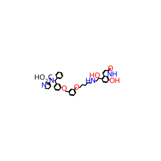 O=C(O)N(C1CN2CCC1CC2)[C@H](c1ccccc1)c1cccc(OCc2cccc(OCCCCCNC[C@H](O)c3ccc(O)c4[nH]c(=O)ccc34)c2)c1